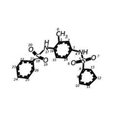 Cc1cc(NS(=O)(=O)c2ccccc2)ccc1NS(=O)(=O)c1ccccc1